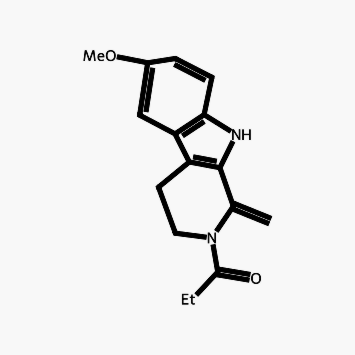 C=C1c2[nH]c3ccc(OC)cc3c2CCN1C(=O)CC